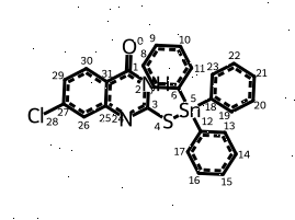 O=c1[nH]c([S][Sn]([c]2ccccc2)([c]2ccccc2)[c]2ccccc2)nc2cc(Cl)ccc12